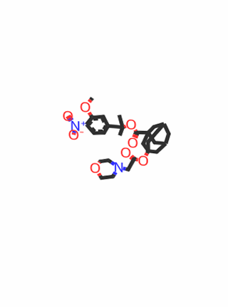 COc1cc(C(C)(C)OC(=O)C23CC4CC(CC(OC(=O)CN5CCOCC5)(C4)C2)C3)ccc1[N+](=O)[O-]